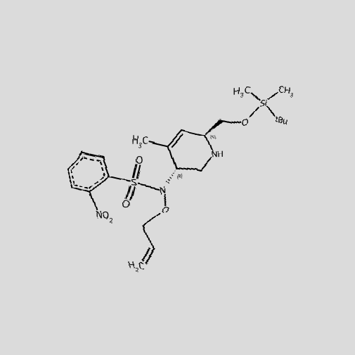 C=CCON([C@H]1CN[C@H](CO[Si](C)(C)C(C)(C)C)C=C1C)S(=O)(=O)c1ccccc1[N+](=O)[O-]